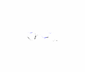 CSC(=NCc1cccnc1)N(C)C